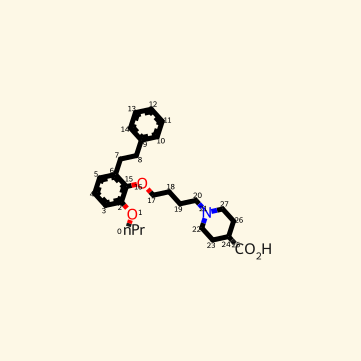 CCCOc1cccc(CCc2ccccc2)c1OCCCCN1CCC(C(=O)O)CC1